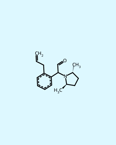 C=CCc1ccccc1C(C=O)N1[C@H](C)CC[C@H]1C